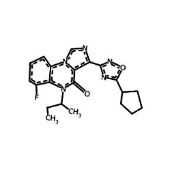 CCC(C)n1c(=O)c2c(-c3noc(C4CCCC4)n3)ncn2c2cccc(F)c21